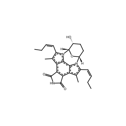 CC/C=C\c1c(C)c2c3c(c4c(C)c(/C=C\CC)n5c4c2n1[C@H]1CC[C@@H](O)[C@@H]5O1)C(=O)NC3=O